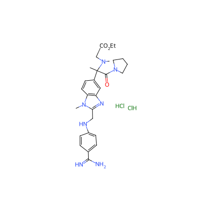 CCOC(=O)CN(C)C(C)(C(=O)N1CCCC1)c1ccc2c(c1)nc(CNc1ccc(C(=N)N)cc1)n2C.Cl.Cl